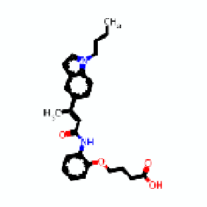 CCCCn1ccc2cc(C(C)=CC(=O)Nc3ccccc3OCCCC(=O)O)ccc21